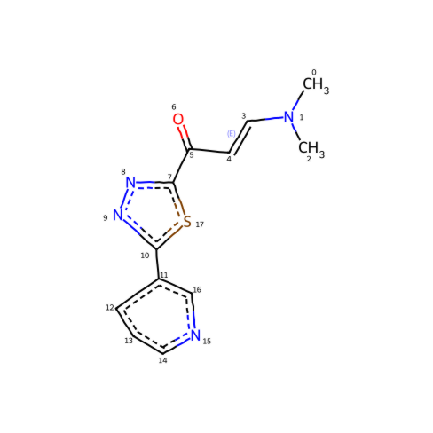 CN(C)/C=C/C(=O)c1nnc(-c2cccnc2)s1